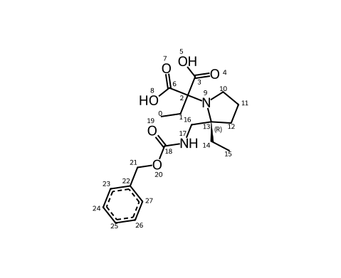 CCC(C(=O)O)(C(=O)O)N1CCC[C@]1(CC)CNC(=O)OCc1ccccc1